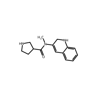 CN(C(=O)C1CCNC1)C1=Cc2ccccc2NC1